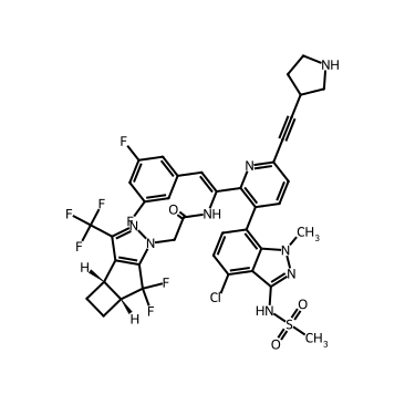 Cn1nc(NS(C)(=O)=O)c2c(Cl)ccc(-c3ccc(C#CC4CCNC4)nc3/C(=C/c3cc(F)cc(F)c3)NC(=O)Cn3nc(C(F)(F)F)c4c3C(F)(F)[C@@H]3CC[C@H]43)c21